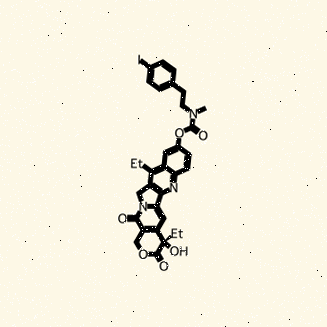 CCc1c2c(nc3ccc(OC(=O)N(C)CCc4ccc(I)cc4)cc13)-c1cc3c(c(=O)n1C2)COC(=O)[C@]3(O)CC